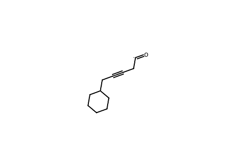 O=[C]CC#CCC1CCCCC1